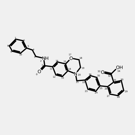 O=C(NCCc1ccccc1)c1ccc2c(c1)OCCN2Cc1ccc(-c2ccccc2C(=O)O)cc1